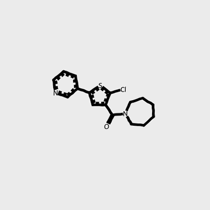 O=C(c1cc(-c2cccnc2)sc1Cl)N1CCCCCC1